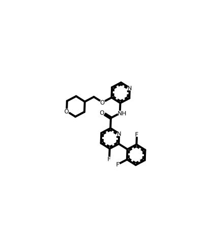 O=C(Nc1cnccc1OCC1CCOCC1)c1ccc(F)c(-c2c(F)cccc2F)n1